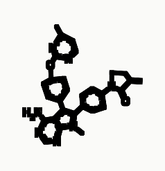 C=C1CCN(c2ccc(-c3c(-c4ccc(Oc5nccc(C)n5)cc4)c4c(N)ncnc4n3C)cc2)C1=O